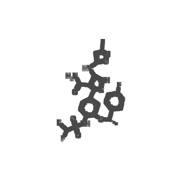 Cc1cc(Nc2[nH]nc(-c3ccc(NS(=O)(=O)C(F)F)c(O[C@@H](C)c4ccc(F)cc4)c3)c2C(N)=O)on1